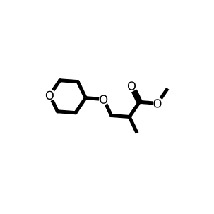 COC(=O)C(C)COC1CCOCC1